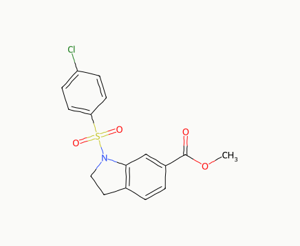 COC(=O)c1ccc2c(c1)N(S(=O)(=O)c1ccc(Cl)cc1)CC2